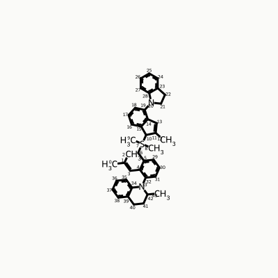 CC(C)=Cc1c(CS(C)(C)C2C(C)=Cc3c2cccc3N2CCc3ccccc32)cccc1N1c2ccccc2CCC1C